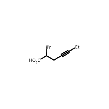 CCC#CCC(C(=O)O)C(C)C